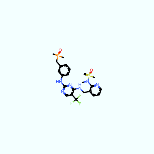 C=S(C)(=O)N(C)c1ncccc1CNc1nc(Nc2cccc(CP(C)(C)=O)c2)ncc1C(F)(F)F